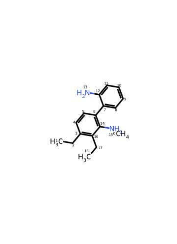 C.CCc1ccc(-c2ccccc2N)c(N)c1CC